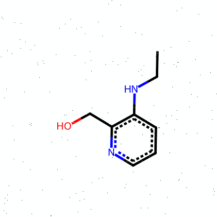 CCNc1[c]ccnc1CO